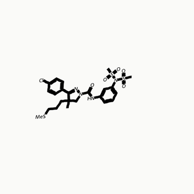 CSCCCC1(C)CN(C(=O)Nc2cccc(N(S(C)(=O)=O)S(C)(=O)=O)c2)N=C1c1ccc(Cl)cc1